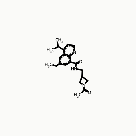 CCc1cc(C(=O)NCC2CN(C(C)=O)C2)c2nccc(C(C)C)c2c1